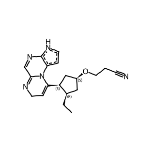 CC[C@@H]1C[C@H](OCCC#N)C[C@@H]1C1=CCN=C2C=Nc3[nH]ccc3N12